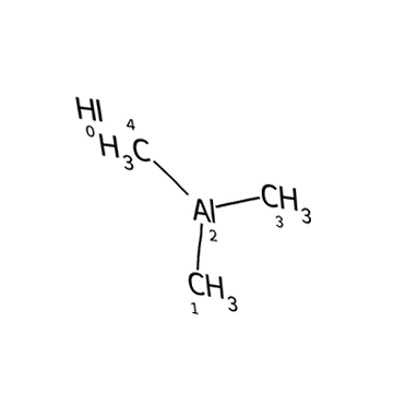 I.[CH3][Al]([CH3])[CH3]